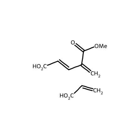 C=C(C=CC(=O)O)C(=O)OC.C=CC(=O)O